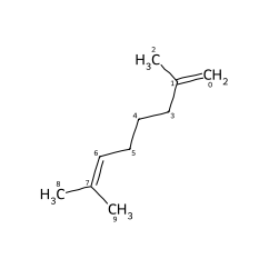 C=C(C)CCCC=C(C)C